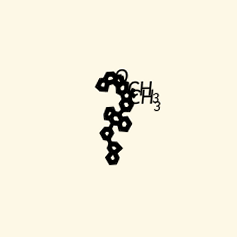 CC1(C)c2ccc(-c3c4ccccc4c(-c4cccc(-c5ccc6ccccc6c5)c4)c4ccccc34)cc2-c2cc3c(cc21)oc1ccc2ccccc2c13